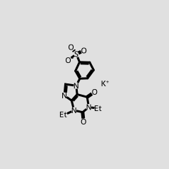 CCn1c(=O)c2c(ncn2-c2cccc(S(=O)(=O)[O-])c2)n(CC)c1=O.[K+]